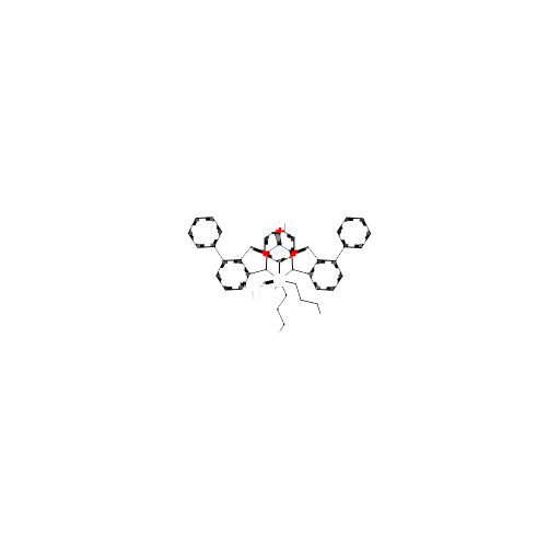 CCC[CH2][V]([CH3])(=[SiH2])([CH2]CCC)([c]1ccccc1)([CH]1C(CC)=Cc2c(-c3ccccc3)cccc21)[CH]1C(CC)=Cc2c(-c3ccccc3)cccc21